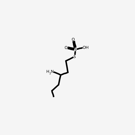 CCCC(N)CCSS(=O)(=O)O